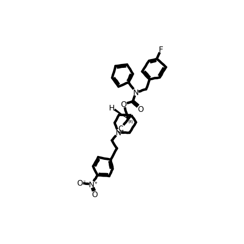 O=C(O[C@H]1C[N+]2(CCc3ccc([N+](=O)[O-])cc3)CCC1CC2)N(Cc1ccc(F)cc1)c1ccccc1